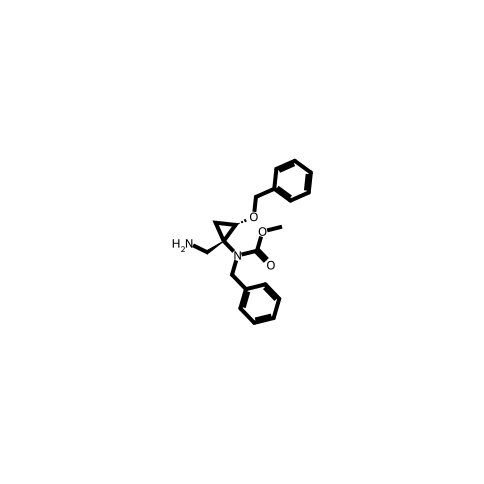 COC(=O)N(Cc1ccccc1)[C@]1(CN)C[C@@H]1OCc1ccccc1